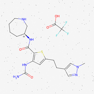 Cn1cc(CCc2cc(NC(N)=O)c(C(=O)N[C@H]3CCCCNC3)s2)cn1.O=C(O)C(F)(F)F